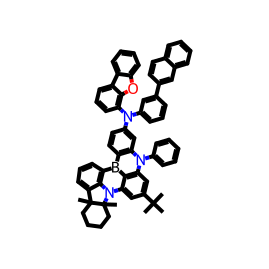 CC(C)(C)c1cc2c3c(c1)N1c4c(cccc4C4(C)CCCCC14C)B3c1ccc(N(c3cccc(-c4ccc5ccccc5c4)c3)c3cccc4c3oc3ccccc34)cc1N2c1ccccc1